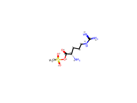 CS(=O)(=O)OC(=O)[C@@H](N)CCCNC(=N)N